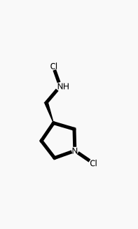 ClNC[C@@H]1CCN(Cl)C1